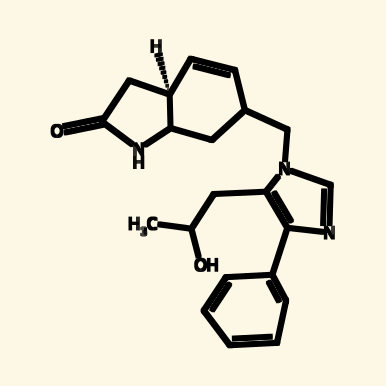 CC(O)Cc1c(-c2ccccc2)ncn1CC1C=C[C@@H]2CC(=O)NC2C1